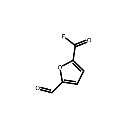 O=Cc1ccc(C(=O)F)o1